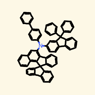 c1ccc(-c2ccc(N(c3ccc4c(c3)C(c3ccccc3)(c3ccccc3)c3ccccc3-4)c3cc4ccccc4c4c3-c3ccccc3C43c4ccccc4-c4ccccc43)cc2)cc1